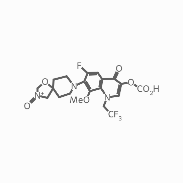 COc1c(N2CCC3(CC2)C[N+](=O)CO3)c(F)cc2c(=O)c(OC(=O)O)cn(CC(F)(F)F)c12